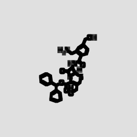 NCc1cc(CO)ccc1C(=O)NC1C(=O)N2C(C(=O)OC(c3ccccc3)c3ccccc3)=C(CO)CS[C@H]12